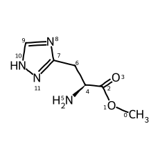 COC(=O)[C@@H](N)Cc1nc[nH]n1